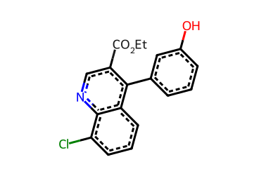 CCOC(=O)c1cnc2c(Cl)cccc2c1-c1cccc(O)c1